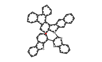 c1ccc2cc3c(cc2c1)c1c2c4ccccc4c4ccccc4c2ccc1n3-c1nc2ccccc2nc1-c1cccc2c1sc1ccccc12